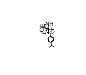 CC(C)c1ccc(C(=O)N2CCO[C@@H]3CNC[C@H]32)cc1